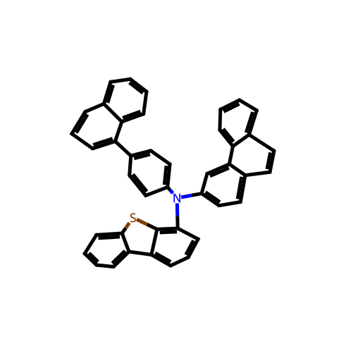 c1ccc2c(-c3ccc(N(c4ccc5ccc6ccccc6c5c4)c4cccc5c4sc4ccccc45)cc3)cccc2c1